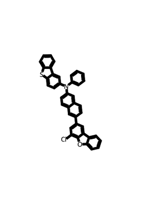 Clc1cc(-c2ccc3cc(N(c4ccccc4)c4ccc5sc6ccccc6c5c4)ccc3c2)cc2c1oc1ccccc12